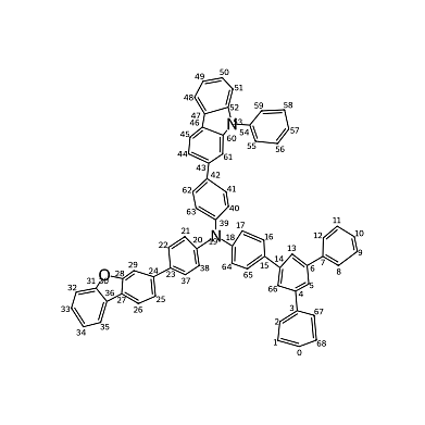 c1ccc(-c2cc(-c3ccccc3)cc(-c3ccc(N(c4ccc(-c5ccc6c(c5)oc5ccccc56)cc4)c4ccc(-c5ccc6c7ccccc7n(-c7ccccc7)c6c5)cc4)cc3)c2)cc1